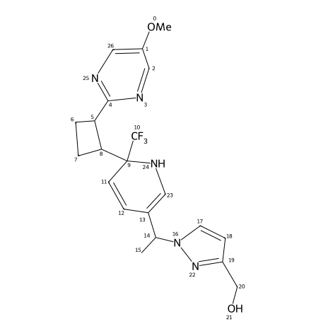 COc1cnc(C2CCC2C2(C(F)(F)F)C=CC(C(C)n3ccc(CO)n3)=CN2)nc1